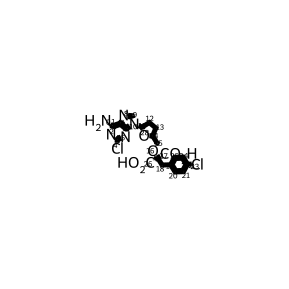 Nc1nc(Cl)nc2c1ncn2C1CCC(COC(Cc2ccc(Cl)cc2)(C(=O)O)C(=O)O)O1